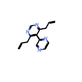 C=CCc1n[c]nc(CC=C)c1-c1cnccn1